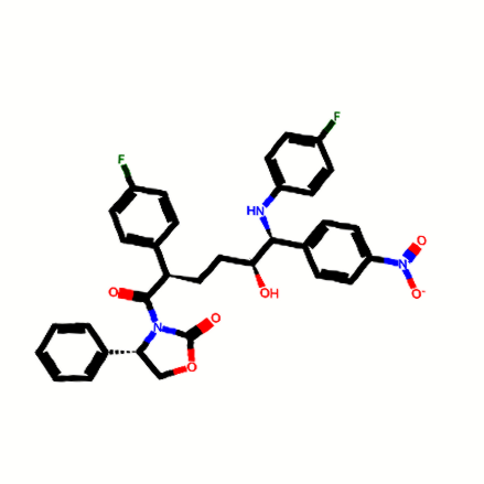 O=C1OC[C@H](c2ccccc2)N1C(=O)[C@H](CC[C@H](O)[C@@H](Nc1ccc(F)cc1)c1ccc([N+](=O)[O-])cc1)c1ccc(F)cc1